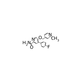 Cc1cc(COc2cnc(C(N)=O)cc2-c2ccc(F)cc2)ccn1